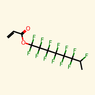 C=CC(=O)OC(F)(F)C(F)(F)C(F)(F)C(F)(F)C(F)(F)C(F)(F)C(C)F